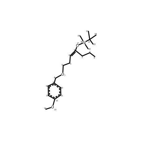 CCC/C(=C\CCOCc1ccc(OC)cc1)O[Si](C)(C)C(C)(C)C